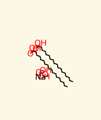 CCCCCCCCCCCCCCCCCC(=O)O.CCCCCCCCCCCCCCCCCC(=O)O.O=P([O-])(O)O.[Na+]